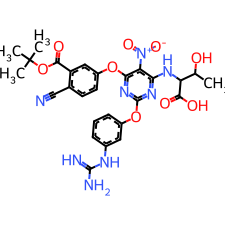 CC(O)C(Nc1nc(Oc2cccc(NC(=N)N)c2)nc(Oc2ccc(C#N)c(C(=O)OC(C)(C)C)c2)c1[N+](=O)[O-])C(=O)O